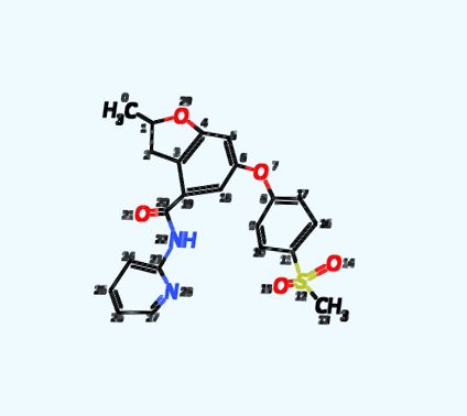 CC1Cc2c(cc(Oc3ccc(S(C)(=O)=O)cc3)cc2C(=O)Nc2ccccn2)O1